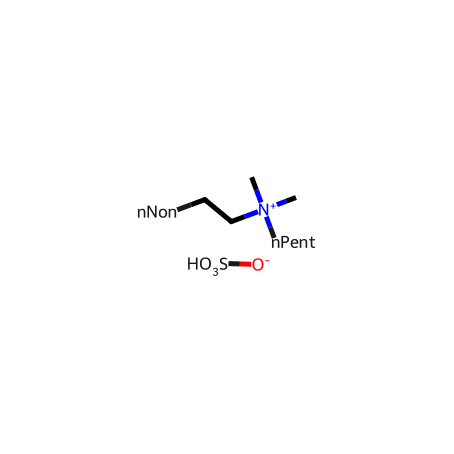 CCCCCCCCCCC[N+](C)(C)CCCCC.O=S(=O)([O-])O